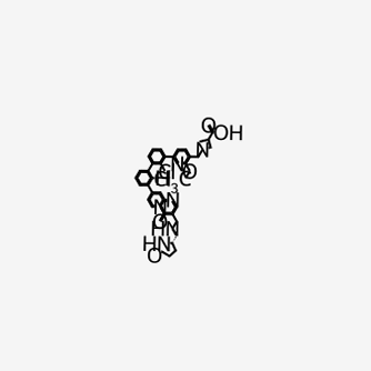 COc1nc(-c2cccc(-c3cccc(-c4ccn5c(=O)c(CNC[C@@H]6CCC(=O)N6)cnc5c4)c3Cl)c2Cl)ccc1CN1CC(C(=O)O)C1